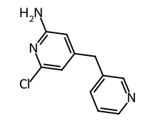 Nc1cc(Cc2cccnc2)cc(Cl)n1